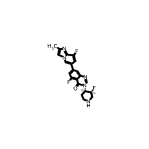 Cc1cn2cc(-c3cc(F)c4c(=O)n([C@H]5CCNC[C@@H]5F)cnc4c3)cc(F)c2n1